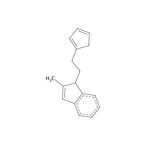 CC1=Cc2ccccc2C1CCC1=CC=CC1